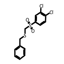 O=S(=O)(CSCc1ccccc1)c1ccc(Cl)c(Cl)c1